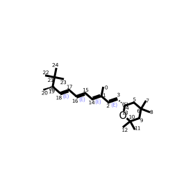 CC(/C=C/[C@@H]1CC(C)(C)CC(C)(C)O1)=C\C=C\C=C\[C@@H](C)C(C)(C)C